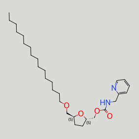 CCCCCCCCCCCCCCCCOC[C@@H]1CC[C@@H](COC(=O)NCc2ccccn2)O1